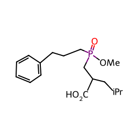 COP(=O)(CCCc1ccccc1)CC(CC(C)C)C(=O)O